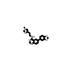 Cn1cnc(CCNc2ncnc3ccc(-c4ccc5c(c4)OCO5)cc23)c1